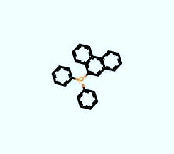 c1ccc(P(c2ccccc2)c2cc3ccccc3c3ccccc23)cc1